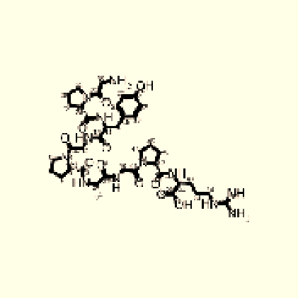 C[C@H](NC(=O)[C@@H]1CCCN1C(=O)CNC(=O)[C@H](Cc1ccc(O)cc1)NC(=O)[C@@H]1CCCN1C(=O)CN)C(=O)NCC(=O)N1CCC[C@H]1C(=O)N[C@@H](CCCNC(=N)N)C(=O)O